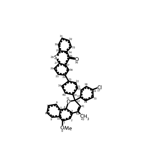 COc1cc2c(c3ccccc13)OC(c1ccc(Cl)cc1)(c1ccc(-c3ccc4sc5ccccc5c(=O)c4c3)cc1)C=C2C